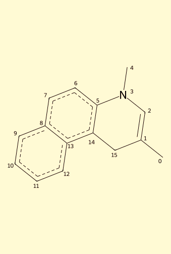 CC1=CN(C)c2ccc3ccccc3c2C1